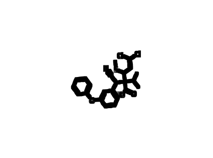 CSC(C=C(Cl)Cl)C(C(=O)O)(C(C)C)C(C#N)c1cccc(Oc2ccccc2)c1